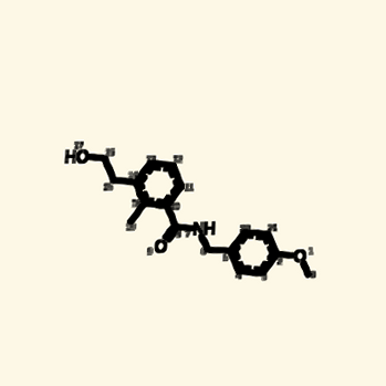 COc1ccc(CNC(=O)c2cccc(CCO)c2C)cc1